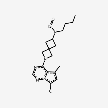 CCCCN([SH]=O)C1CC2(C1)CN(c1ncnn3c(Cl)cc(C)c13)C2